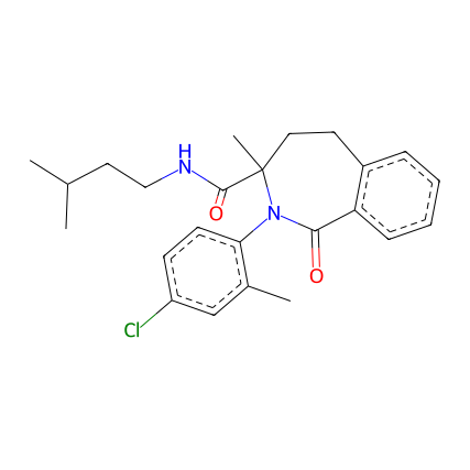 Cc1cc(Cl)ccc1N1C(=O)c2ccccc2CCC1(C)C(=O)NCCC(C)C